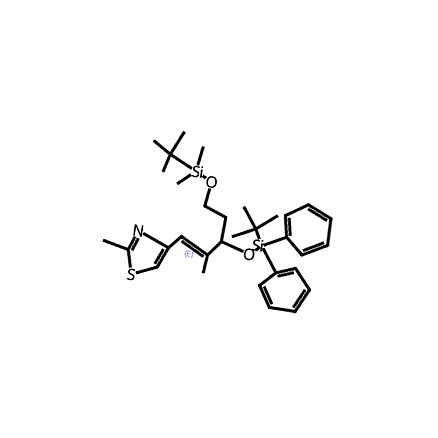 C/C(=C\c1csc(C)n1)C(CCO[Si](C)(C)C(C)(C)C)O[Si](c1ccccc1)(c1ccccc1)C(C)(C)C